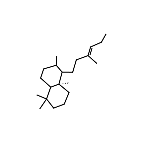 CC/C=C(\C)CCC1C(C)CCC2C(C)(C)CCC[C@]12C